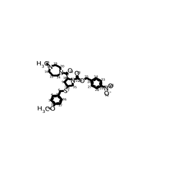 COc1ccc(CS[C@H]2C[C@@H](C(=O)N3CCCN(C)CC3)N(C(=O)OCc3ccc([N+](=O)[O-])cc3)C2)cc1